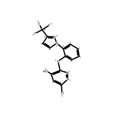 Oc1cc(Cl)nnc1Oc1ccccc1-n1ccc(C(F)(F)F)n1